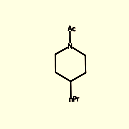 [CH2]CCC1CCN(C(C)=O)CC1